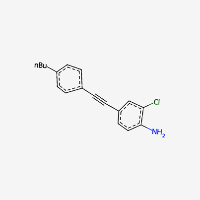 CCCCc1ccc(C#Cc2ccc(N)c(Cl)c2)cc1